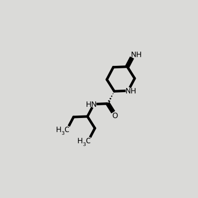 CCC(CC)NC(=O)[C@@H]1CCC(=N)CN1